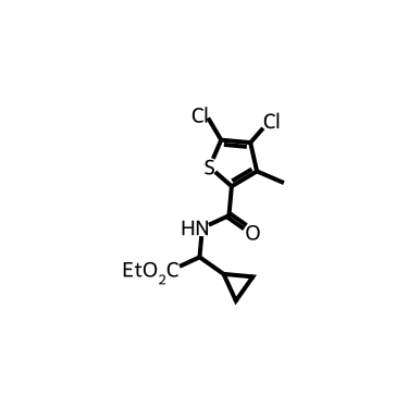 CCOC(=O)C(NC(=O)c1sc(Cl)c(Cl)c1C)C1CC1